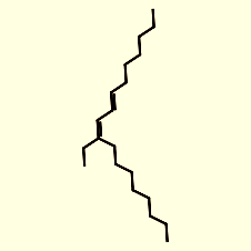 CCCCCCC=CC=C(CC)CCCCCCCC